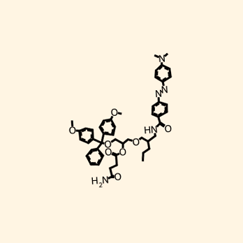 CCCC(CNC(=O)c1ccc(/N=N/c2ccc(N(C)C)cc2)cc1)COCC(COC(c1ccccc1)(c1ccc(OC)cc1)c1ccc(OC)cc1)OC(=O)CCC(N)=O